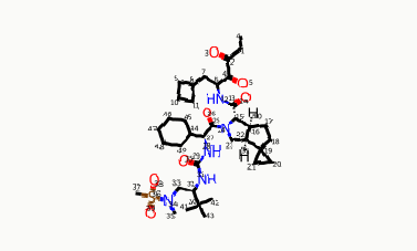 CCC(=O)C(=O)C(CC1CCC1)NC(=O)[C@@H]1[C@H]2CCC3(CC3)[C@H]2CN1C(=O)[C@@H](NC(=O)N[C@H](CN(C)S(C)(=O)=O)C(C)(C)C)C1CCCCC1